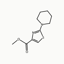 COC(=O)c1csc(N2CCCCC2)n1